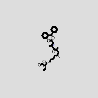 C=C[C@H]1C(=O)O[C@@H]1CCCC[C@@H](C)CC1(C)OC1/C(C)=C/C(=O)OC(c1ccccc1)c1ccccc1